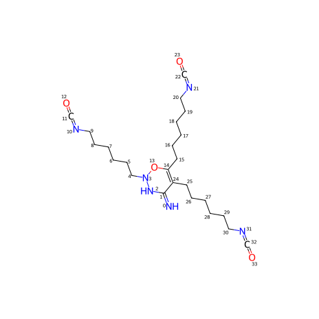 N=C1NN(CCCCCCN=C=O)OC(CCCCCCN=C=O)=C1CCCCCCN=C=O